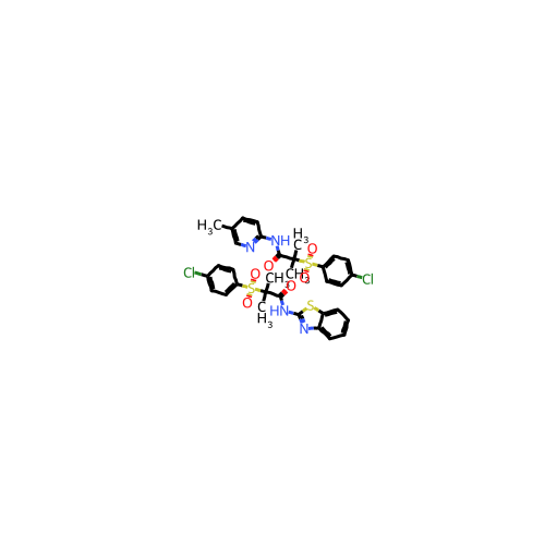 CC(C)(C(=O)Nc1nc2ccccc2s1)S(=O)(=O)c1ccc(Cl)cc1.Cc1ccc(NC(=O)C(C)(C)S(=O)(=O)c2ccc(Cl)cc2)nc1